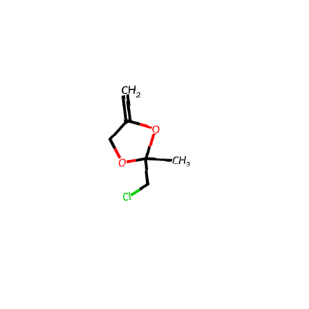 C=C1COC(C)(CCl)O1